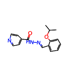 CC(C)Oc1ccccc1/C=N/NC(=O)c1ccncc1